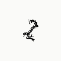 CC(=O)N1CCc2c(c(N3CCCc4cc(-c5cnn(C)c5)c(C(F)F)cc43)nn2C2CCN(C3CCC4(CC3)CC(OC3N=CC=CN3C3C(C)(C)C(Oc5ccc(C#N)c(Cl)c5)C3(C)C)C4)CC2)C1